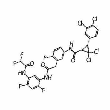 O=C(Cc1cc(NC(=O)[C@H]2[C@H](c3ccc(Cl)c(Cl)c3)C2(Cl)Cl)ccc1F)Nc1cc(NC(=O)C(F)F)c(F)cc1F